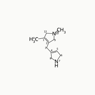 CC1=C(CC2=CCNC2)CN(C)C1